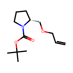 C=CCOC[C@H]1CCCN1C(=O)OC(C)(C)C